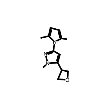 Cc1ccc(C)n1-c1cc(C2COC2)n(C)n1